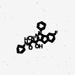 N#C/C(C(=O)Nc1ccccc1)=C(/O)c1nn(-c2ccccc2)c2c1Cc1ccc(F)cc1-2